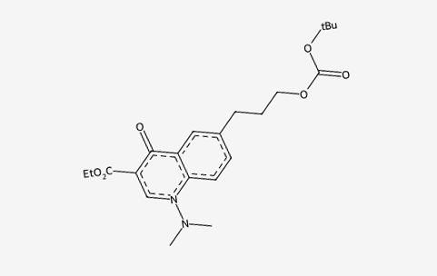 CCOC(=O)c1cn(N(C)C)c2ccc(CCCOC(=O)OC(C)(C)C)cc2c1=O